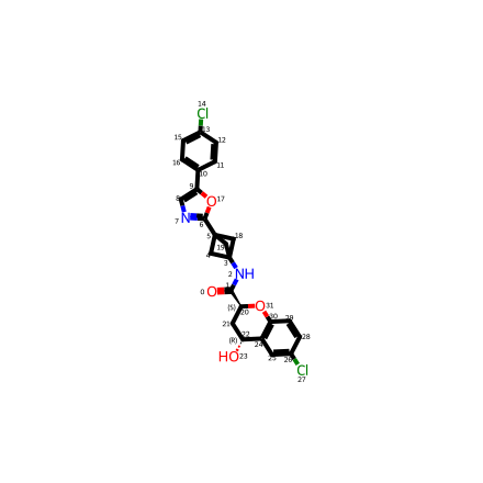 O=C(NC12CC(c3ncc(-c4ccc(Cl)cc4)o3)(C1)C2)[C@@H]1C[C@@H](O)c2cc(Cl)ccc2O1